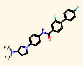 CN(C)C1CCN(c2ccc(NC(=O)c3ccc(-c4ccc(F)cc4)c(F)c3)cc2)C1